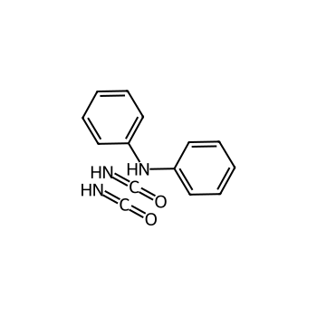 N=C=O.N=C=O.c1ccc(Nc2ccccc2)cc1